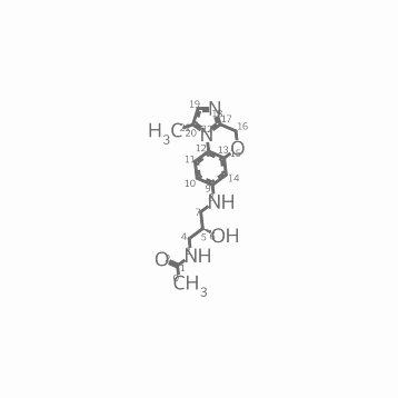 CC(=O)NC[C@H](O)CNc1ccc2c(c1)OCc1ncc(C)n1-2